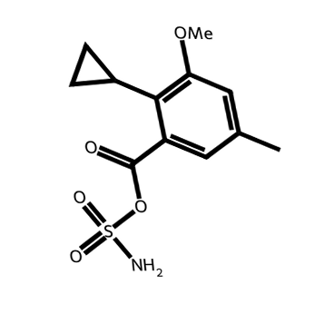 COc1cc(C)cc(C(=O)OS(N)(=O)=O)c1C1CC1